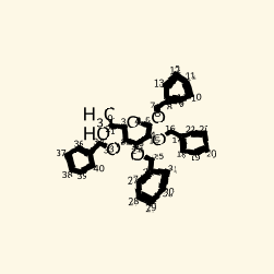 C[C@H](O)[C@H]1O[C@@H](OCc2ccccc2)[C@H](OCc2ccccc2)[C@@H](OCc2ccccc2)[C@@H]1OCc1ccccc1